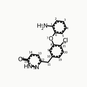 Nc1ccccc1Oc1cc(Cc2ccc(=O)[nH]n2)ccc1Cl